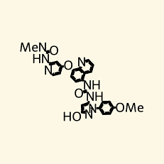 CNC(=O)Nc1cc(Oc2ccc(NC(=O)Nc3cc(O)nn3-c3ccc(OC)cc3)c3cccnc23)ccn1